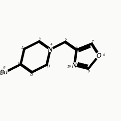 CC(C)(C)C1CCN(Cc2cocn2)CC1